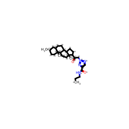 CCCNC(=O)c1cnn(CC(=O)C2CCC3C4CCC5C[C@@H](C)CCC5(C)C4CCC23C)n1